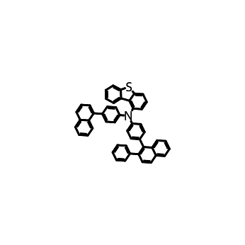 c1ccc(-c2ccc3ccccc3c2-c2ccc(N(c3ccc(-c4cccc5ccccc45)cc3)c3cccc4sc5ccccc5c34)cc2)cc1